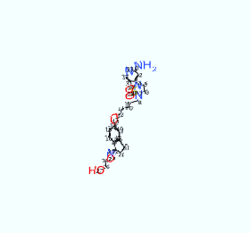 Nc1cc(N2CCN(CCCCCOc3ccc4c(c3)CC/C4=N\OCCO)S2(=O)=O)ccn1